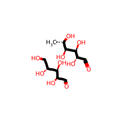 C[C@H](O)[C@H](O)[C@@H](O)[C@@H](O)C=O.O=C[C@@H](O)[C@H](O)[C@H](O)CO